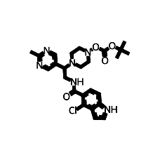 Cc1ncc(C(CNC(=O)c2ccc3[nH]ccc3c2Cl)N2CCN(OC(=O)OC(C)(C)C)CC2)cn1